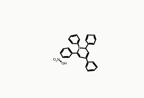 C1=C(c2ccccc2)C=C(c2ccccc2)N(c2ccccc2)C1c1ccccc1.O=[N+]([O-])O